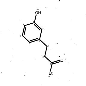 CCC(=O)CCc1cccc(O)c1